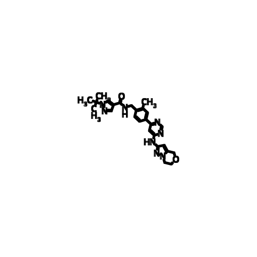 Cc1cc(-c2cc(Nc3cc4n(n3)CCOC4)ncn2)ccc1CNC(=O)c1cnn(C(C)(C)C)c1